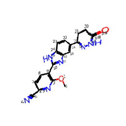 COc1nc(C#N)ccc1-c1nc2cc(C3=NNC(=O)CC3)ccc2[nH]1